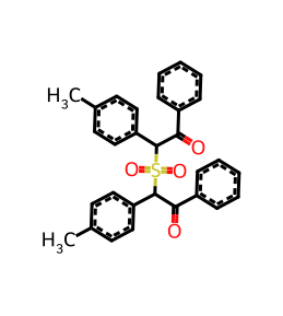 Cc1ccc(C(C(=O)c2ccccc2)S(=O)(=O)C(C(=O)c2ccccc2)c2ccc(C)cc2)cc1